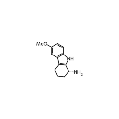 COc1ccc2[nH]c3c(c2c1)CCC[C@H]3N